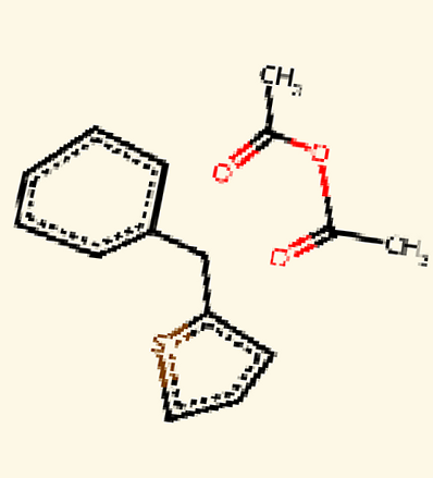 CC(=O)OC(C)=O.c1ccc(Cc2cccs2)cc1